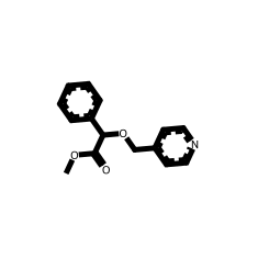 COC(=O)C(OCc1ccncc1)c1ccccc1